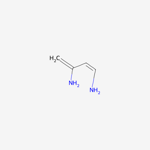 C=C(N)/C=C\N